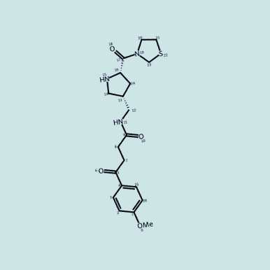 COc1ccc(C(=O)CCC(=O)NC[C@@H]2CN[C@H](C(=O)N3CCSC3)C2)cc1